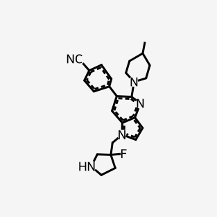 CC1CCN(c2nc3ccn(CC4(F)CCNC4)c3cc2-c2ccc(C#N)cc2)CC1